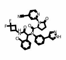 N#Cc1ccnc(N2C(=O)CC[C@H]2C(=O)N(c2cccc(-c3cn[nH]c3)c2)C(C(=O)NC2CC(F)(F)C2)c2ccccc2Cl)c1